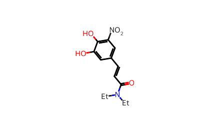 CCN(CC)C(=O)C=Cc1cc(O)c(O)c([N+](=O)[O-])c1